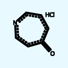 Cl.O=c1cccncc1